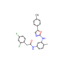 Cc1ccc(NC(=O)Cc2ccc(F)cc2F)cc1Nc1ncc(-c2ccc(C#N)cc2)o1